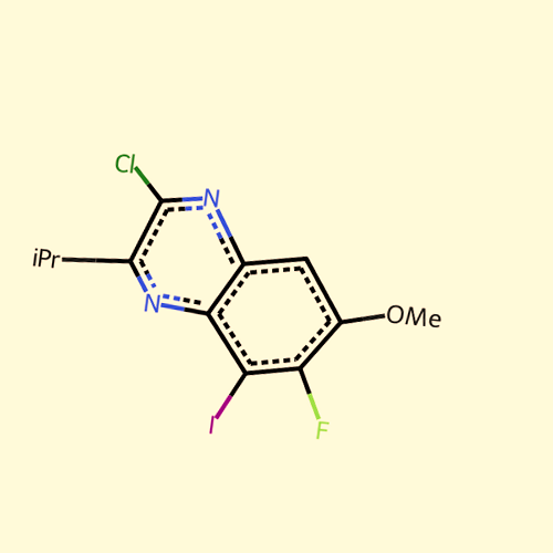 COc1cc2nc(Cl)c(C(C)C)nc2c(I)c1F